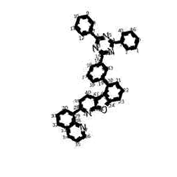 c1ccc(-c2nc(-c3ccccc3)nc(-c3cccc(-c4cccc5oc6nc(-c7cccc8cccnc78)ccc6c45)c3)n2)cc1